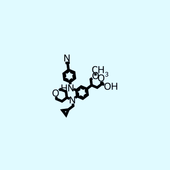 COCC(CC(=O)O)c1ccc(N(CC2CC2)C2CCOCC2)c(Nc2ccc(C#N)cc2)c1